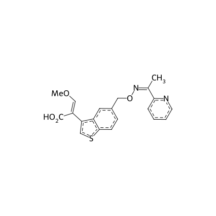 COC=C(C(=O)O)c1csc2ccc(CON=C(C)c3ccccn3)cc12